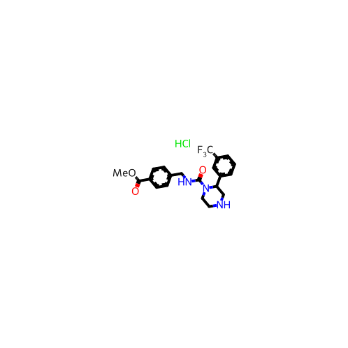 COC(=O)c1ccc(CNC(=O)N2CCNCC2c2cccc(C(F)(F)F)c2)cc1.Cl